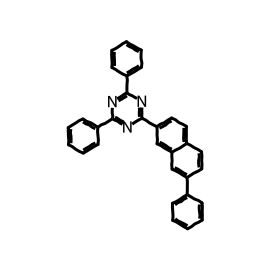 c1ccc(-c2ccc3ccc(-c4nc(-c5ccccc5)nc(-c5ccccc5)n4)cc3c2)cc1